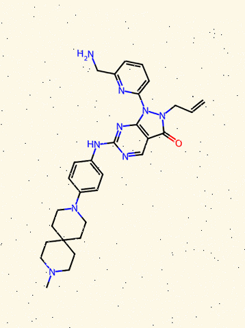 C=CCn1c(=O)c2cnc(Nc3ccc(N4CCC5(CCN(C)CC5)CC4)cc3)nc2n1-c1cccc(CN)n1